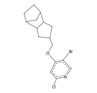 Clc1cc(OCC2CC3C4CCC(C4)C3C2)c(Br)cn1